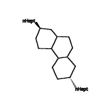 CCCCCCC[C@@H]1CCC2C(CCC3C[C@H](CCCCCCC)CCC32)C1